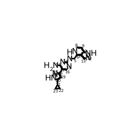 Nc1nc(NCc2nccc3[nH]ncc23)ncc1-c1cc(C2CC2)[nH]n1